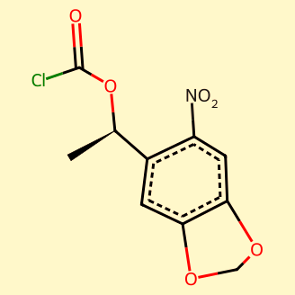 C[C@@H](OC(=O)Cl)c1cc2c(cc1[N+](=O)[O-])OCO2